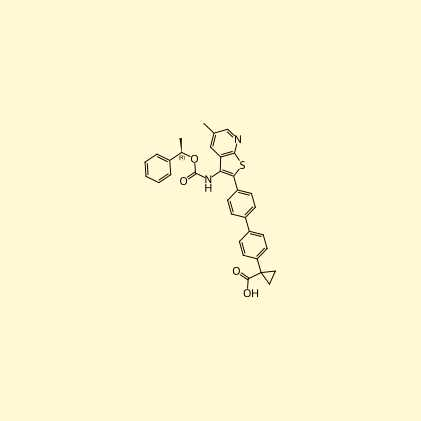 Cc1cnc2sc(-c3ccc(-c4ccc(C5(C(=O)O)CC5)cc4)cc3)c(NC(=O)O[C@H](C)c3ccccc3)c2c1